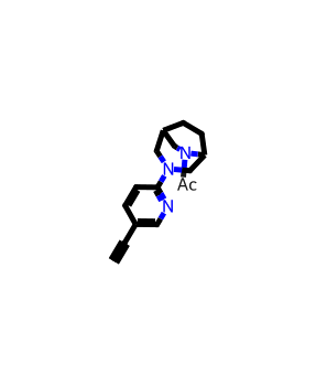 C#Cc1ccc(N2CC3CCC(C2)N(C(C)=O)C3)nc1